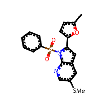 CSc1cnc2c(c1)cc(-c1ccc(C)o1)n2S(=O)(=O)c1ccccc1